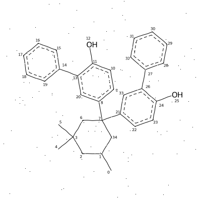 CC1CC(C)(C)CC(c2ccc(O)c(-c3ccccc3)c2)(c2ccc(O)c(-c3ccccc3)c2)C1